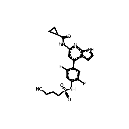 N#CCCCS(=O)(=O)Nc1cc(F)c(-c2cc(NC(=O)C3CC3)nc3[nH]ccc23)cc1F